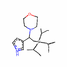 CC(C)[Si](C(C)C)(C(C)C)C(c1cc[nH]c1)N1CCOCC1